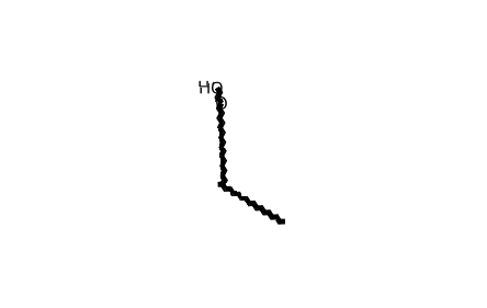 CCCCCCCCCCCCCCCCC(C)CCCCCCCCCCCCCCCCOCCO